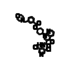 O=C(O[C@H]1CC[C@H](n2cc(C(=O)Nc3c(Cl)cncc3Cl)c(=O)c3cccnc32)CC1)c1cccc(CN2CCOCC2)c1